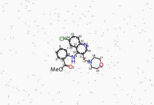 COC(=O)c1ccccc1Nc1c(SN2CCOCC2)cnc2ccc(Cl)cc12